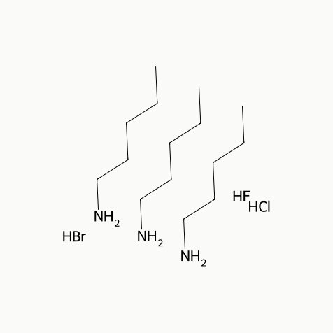 Br.CCCCCN.CCCCCN.CCCCCN.Cl.F